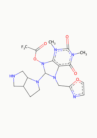 Cn1c2c(c(=O)n(C)c1=O)N(Cc1ncco1)C(N1CCC3CNCC31)N2OC(=O)C(F)(F)F